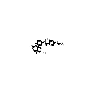 Cl.NC1=NC2(c3cc(NC(=O)c4ncc(OCC(F)(F)F)cc4F)ccc3F)COCC2(F)CO1